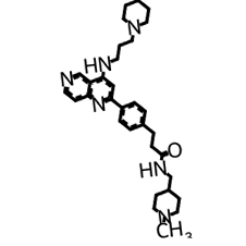 CN1CCC(CNC(=O)CCc2ccc(-c3cc(NCCCN4CCCCC4)c4cnccc4n3)cc2)CC1